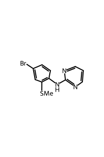 CSc1cc(Br)ccc1Nc1ncccn1